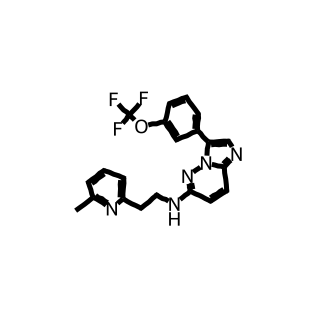 Cc1cccc(CCNc2ccc3ncc(-c4cccc(OC(F)(F)F)c4)n3n2)n1